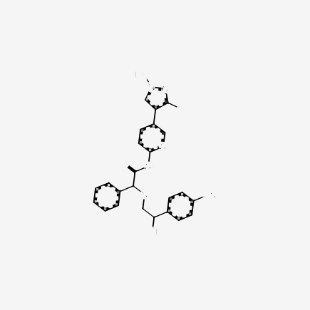 Cc1nn(C)cc1-c1ccc(NC(=O)C(NCC(C)c2ccc(C#N)cc2)c2ccccc2)nc1